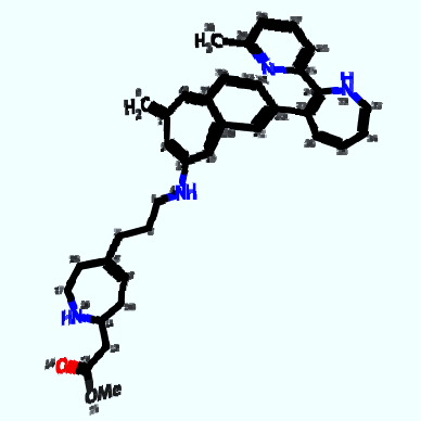 C=C1C=C(NCCCC2=CCC(CC(=O)OC)NCC2)C=c2cc(C3=C(c4cccc(C)n4)NC=CC=C3)ccc2=C1